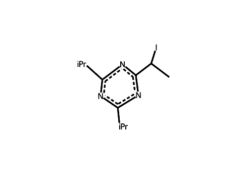 CC(C)c1nc(C(C)C)nc(C(C)I)n1